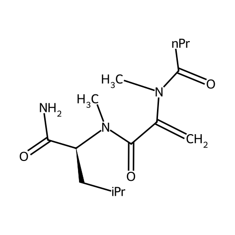 C=C(C(=O)N(C)[C@@H](CC(C)C)C(N)=O)N(C)C(=O)CCC